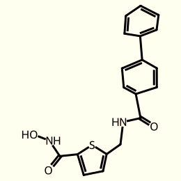 O=C(NCc1ccc(C(=O)NO)s1)c1ccc(-c2ccccc2)cc1